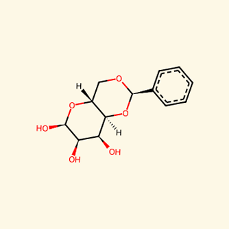 O[C@@H]1[C@H](O)[C@@H]2O[C@H](c3ccccc3)OC[C@H]2O[C@@H]1O